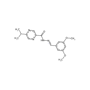 COc1cc(/C=N/NC(=O)c2cnc(C(C)C)cn2)cc(OC)c1